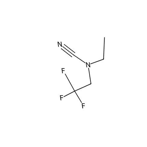 CCN(C#N)CC(F)(F)F